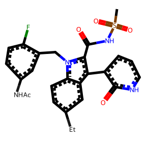 CCc1ccc2c(c1)c(-c1ccc[nH]c1=O)c(C(=O)NS(C)(=O)=O)n2Cc1cc(NC(C)=O)ccc1F